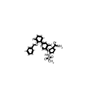 CS(=O)(=O)N[C@H]1CC[C@](Cc2cc(-c3cccc(F)c3OCc3ccccc3)ncc2F)(C(N)=O)C1